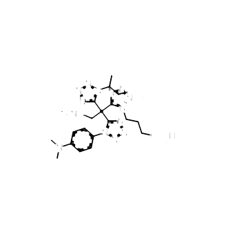 CC(=O)NCC(c1nnnn1CCCC(=O)O)(c1nnnn1-c1ccc(N(C)C)cc1)c1nnnn1C(C)CC(=O)O